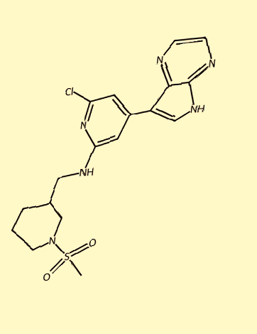 CS(=O)(=O)N1CCCC(CNc2cc(-c3c[nH]c4nccnc34)cc(Cl)n2)C1